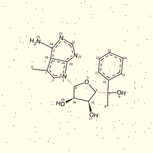 Cc1cn([C@@H]2O[C@H](C(C)(O)c3ccccc3)[C@@H](O)[C@H]2O)c2ncnc(N)c12